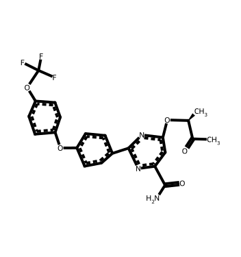 CC(=O)[C@H](C)Oc1cc(C(N)=O)nc(-c2ccc(Oc3ccc(OC(F)(F)F)cc3)cc2)n1